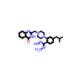 CC(C)Cc1ccc(/C(N=N)=N/N)c(N2CCN(Cc3nc4ccccc4c(=O)[nH]3)CC2)c1